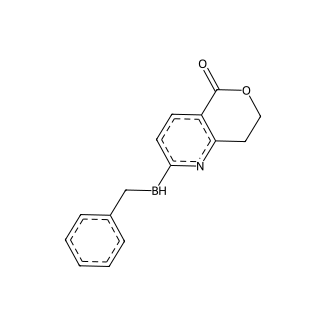 O=C1OCCc2nc(BCc3ccccc3)ccc21